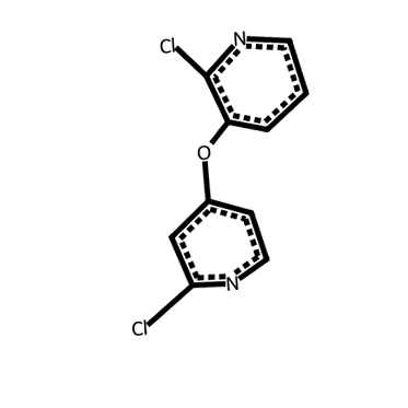 Clc1cc(Oc2cccnc2Cl)ccn1